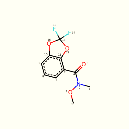 CON(C)C(=O)c1cccc2c1OC(F)(F)O2